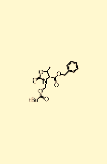 C[C@@H]1OC(=O)N(COC(=O)C(C)(C)C)[C@@H]1C(=O)OCc1ccccc1